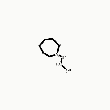 [AsH2][AsH][AsH][As]1CCCCCC1